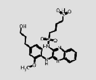 COc1cc(CCCO)ccc1Nc1nc2ccccc2nc1NS(=O)(=O)CCCC[SH](=O)=O